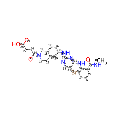 CNC(=O)c1ccccc1Nc1nc(Nc2ccc3c(c2)CCN(C(=O)CCC(=O)O)C3)ncc1Br